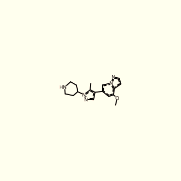 COc1cc(-c2cnn(C3CCNCC3)c2C)cn2nccc12